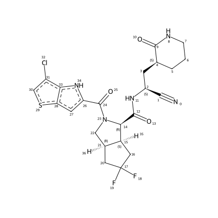 N#C[C@H](C[C@@H]1CCCNC1=O)NC(=O)[C@H]1[C@H]2CC(F)(F)C[C@H]2CN1C(=O)c1cc2scc(Cl)c2[nH]1